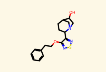 OC1CN2CC1CCC2c1nsnc1OCCc1ccccc1